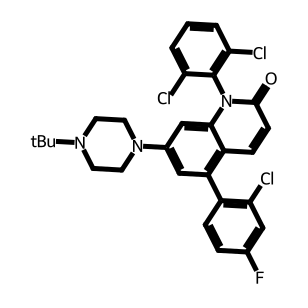 CC(C)(C)N1CCN(c2cc(-c3ccc(F)cc3Cl)c3ccc(=O)n(-c4c(Cl)cccc4Cl)c3c2)CC1